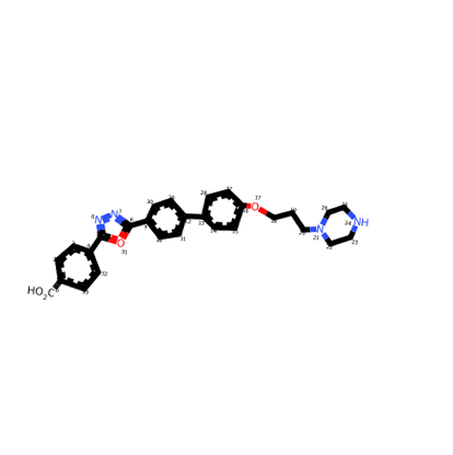 O=C(O)c1ccc(-c2nnc(-c3ccc(-c4ccc(OCCCN5CCNCC5)cc4)cc3)o2)cc1